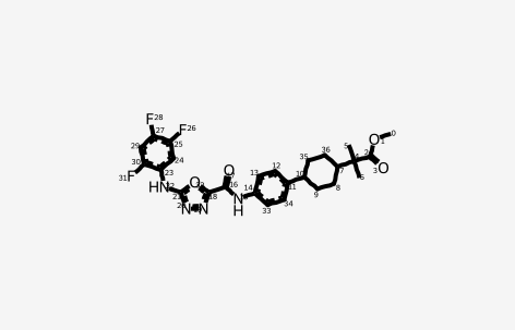 COC(=O)C(C)(C)C1CCC(c2ccc(NC(=O)c3nnc(Nc4cc(F)c(F)cc4F)o3)cc2)CC1